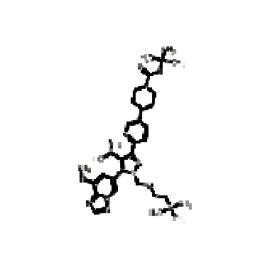 COc1cc(-c2c(C(C)C)c(-c3ccc(C4CCN(C(=O)OC(C)(C)C)CC4)cn3)nn2COCC[Si](C)(C)C)cn2ncnc12